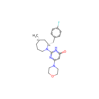 C[C@H]1CCCN(c2nc(N3CCOCC3)cc(=O)[nH]2)[C@@H](Cc2ccc(F)cc2)C1